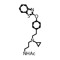 CC(=O)NCCCN(CCc1ccc(Oc2nc3ccccc3s2)cc1)C1CC1